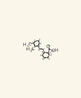 Cc1cccc(/C=C/c2ccccc2C(=O)O)c1C